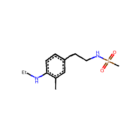 CCNc1ccc(CCNS(C)(=O)=O)cc1C